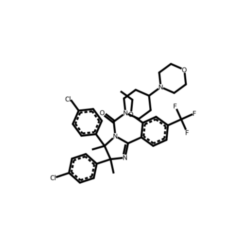 CCOc1cc(C(F)(F)F)ccc1C1=NC(C)(c2ccc(Cl)cc2)C(C)(c2ccc(Cl)cc2)N1C(=O)N1CCC(N2CCOCC2)CC1